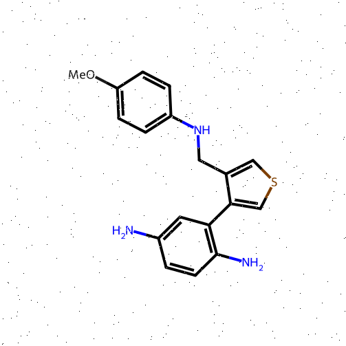 COc1ccc(NCc2cscc2-c2cc(N)ccc2N)cc1